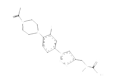 CC(=O)N1CCN(c2ccc(-n3cc(CN(S)C(=O)O)nn3)cc2F)CC1